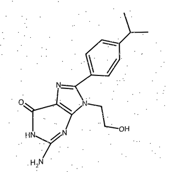 CC(C)c1ccc(-c2nc3c(=O)[nH]c(N)nc3n2CCO)cc1